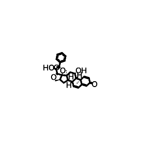 C[C@@H]1C[C@H]2[C@@H]3C=CC4=CC(=O)C=C[C@]4(C)[C@H]3[C@@H](O)C[C@]2(C)[C@]1(OC(=O)c1ccccc1)C(=O)CO